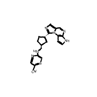 N#Cc1cnc(NC[C@H]2CC[C@H](c3ncc4cnc5[nH]ccc5n34)C2)cn1